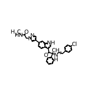 CNC(=O)Cn1cc(-c2ccc3c(C(=O)C(C)(NCCc4ccc(Cl)cc4)c4ccccc4)c[nH]c3c2)cn1